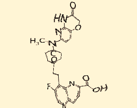 CN(c1ccc2c(n1)NC(=O)CO2)C12CCC(CCc3c(F)cnc4ccc(C(=O)O)nc34)(CC1)OC2